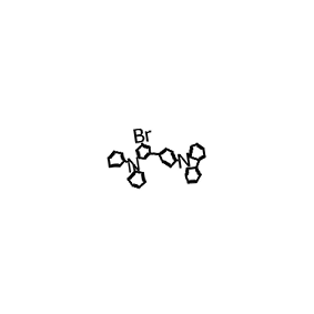 Brc1cc(-c2ccc(-n3c4ccccc4c4ccccc43)cc2)cc(N(c2ccccc2)c2ccccc2)c1